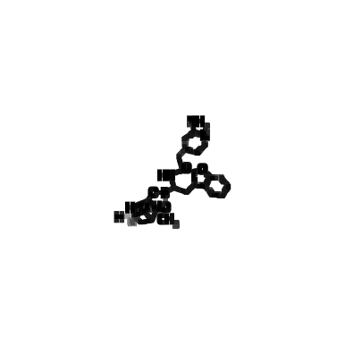 CC1(C)C2C[C@H]1CC1OB(C(Cc3coc4ccccc34)NC(=O)Cc3ccnc(N)c3)O[C@]12C